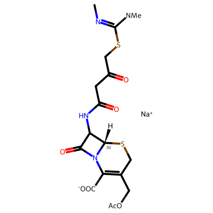 CN=C(NC)SCC(=O)CC(=O)NC1C(=O)N2C(C(=O)[O-])=C(COC(C)=O)CS[C@@H]12.[Na+]